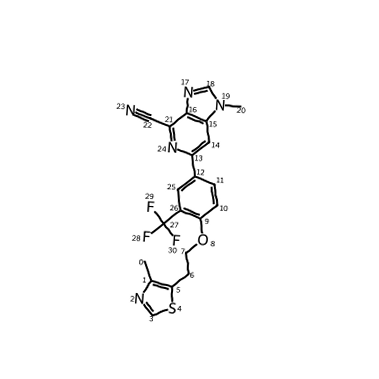 Cc1ncsc1CCOc1ccc(-c2cc3c(ncn3C)c(C#N)n2)cc1C(F)(F)F